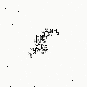 CC(C)CN(C)c1cc(NC(=S)Nc2ccc(N)cc2)cc(C(F)(F)F)c1